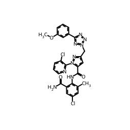 COc1cccc(-c2nnn(Cc3cc(C(=O)Nc4c(C)cc(Cl)cc4C(N)=O)n(-c4ncccc4Cl)n3)n2)c1